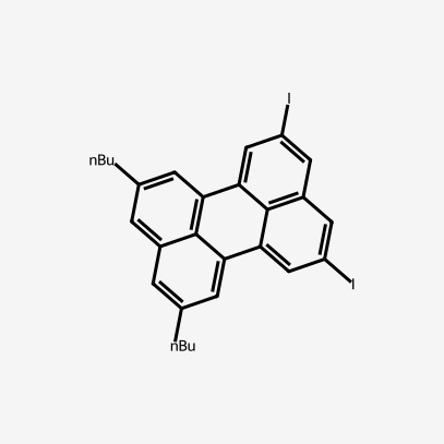 CCCCc1cc2cc(CCCC)cc3c4cc(I)cc5cc(I)cc(c(c1)c23)c54